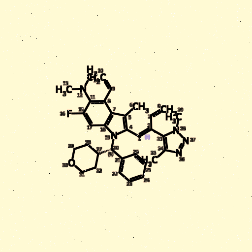 C=C/C(=C\c1c(C)c2c(C=C)c(N(C)C)c(F)cc2n1[C@H](c1ccccc1)C1CCOCC1)c1c(C)nnn1C